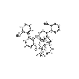 CCC(C)c1ccccc1-c1cccc2c1C=C(CC(C)C)[CH]2[Hf]([Cl])([Cl])([CH]1C(CC(C)C)=Cc2c(-c3ccccc3C(C)CC)cccc21)[SiH](C)C